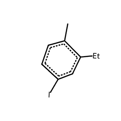 CCc1cc(I)ccc1C